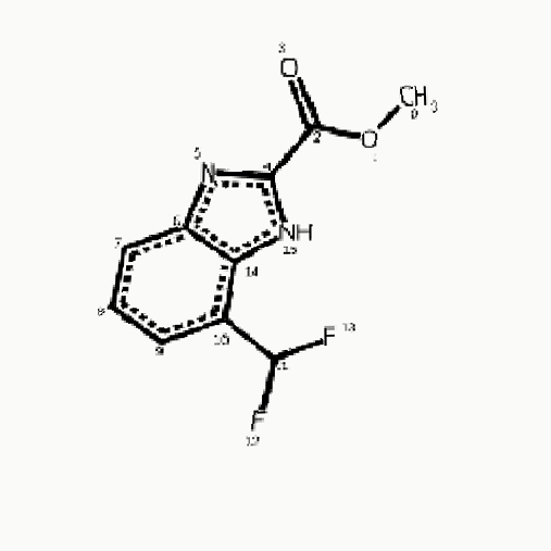 COC(=O)c1nc2cccc(C(F)F)c2[nH]1